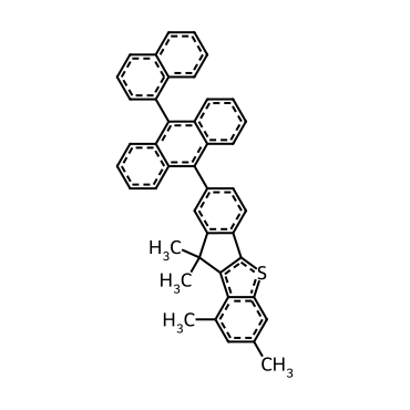 Cc1cc(C)c2c3c(sc2c1)-c1ccc(-c2c4ccccc4c(-c4cccc5ccccc45)c4ccccc24)cc1C3(C)C